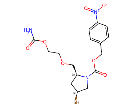 NC(=O)OCCOC[C@@H]1C[C@H](S)CN1C(=O)OCc1ccc([N+](=O)[O-])cc1